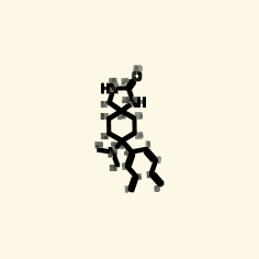 C=C/C=C\C(=C/C=C)C1(N(C)C)CCC2(CC1)CNC(=O)N2